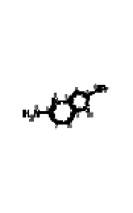 CC(C)c1cc2nc(N)ccc2s1